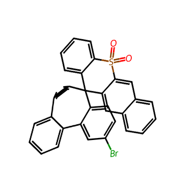 O=S1(=O)c2ccccc2C2(c3ccccc3-c3ccccc3-c3cc(Br)ccc32)c2cc3ccccc3cc21